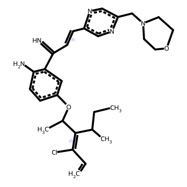 C=C/C(Cl)=C(\C(C)CC)C(C)Oc1ccc(N)c(C(=N)/C=C/c2cnc(CN3CCOCC3)cn2)c1